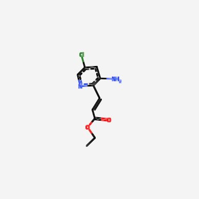 CCOC(=O)C=Cc1ncc(Cl)cc1N